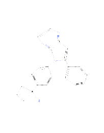 NC1(c2ccc(-n3c(-c4ccccc4)cc4nccnc43)cc2)CCC1